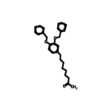 CC(=O)CCCCCCCc1ccc(OCc2ccccc2)c(OCc2ccccc2)c1